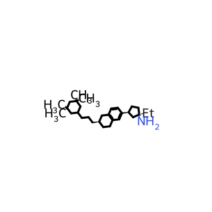 CC[C@@]1(N)CC[C@H](c2ccc3c(c2)CC[C@@H](CCCC2CC(C)(C)CC(C)(C)C2)C3)C1